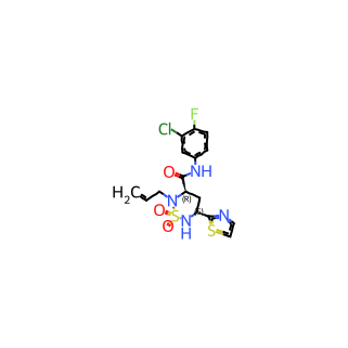 C=CCN1[C@@H](C(=O)Nc2ccc(F)c(Cl)c2)C[C@@H](c2nccs2)NS1(=O)=O